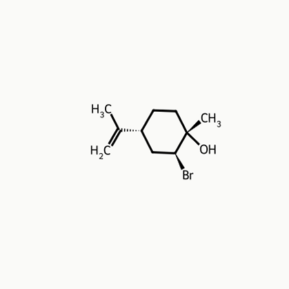 C=C(C)[C@@H]1CC[C@](C)(O)[C@@H](Br)C1